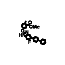 COC(=O)c1cc(Oc2nc3cc(-c4ccc(-c5ccccc5)cc4)c(F)cc3[nH]2)ccc1C